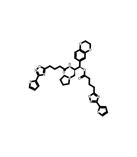 O=C(CCCc1nc(-c2cccs2)no1)N[C@H](CN1CCCC1)[C@H](OC(=O)CCCc1nc(-c2cccs2)no1)c1ccc2c(c1)OCCO2